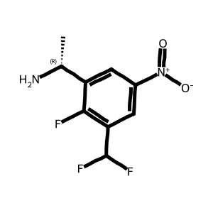 C[C@@H](N)c1cc([N+](=O)[O-])cc(C(F)F)c1F